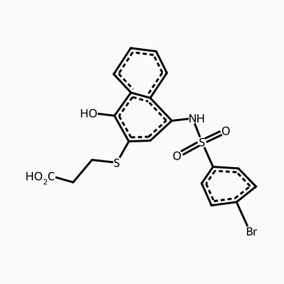 O=C(O)CCSc1cc(NS(=O)(=O)c2ccc(Br)cc2)c2ccccc2c1O